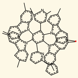 Cc1ccc2c(c1)c1cc(C)ccc1n2-c1c(-c2cc(C)nc(C)c2)c(-n2c3ccc(C)cc3c3cc(C)ccc32)c(-n2c3ccc(C)cc3c3cc(C)ccc32)c(-c2cccc(-c3ccccc3)n2)c1-n1c2ccc(C)cc2c2cc(C)ccc21